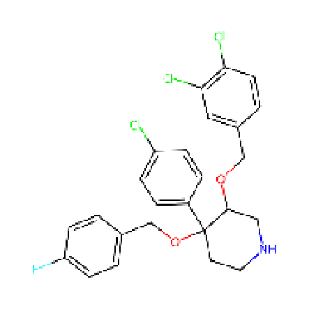 Fc1ccc(COC2(c3ccc(Cl)cc3)CCNCC2OCc2ccc(Cl)c(Cl)c2)cc1